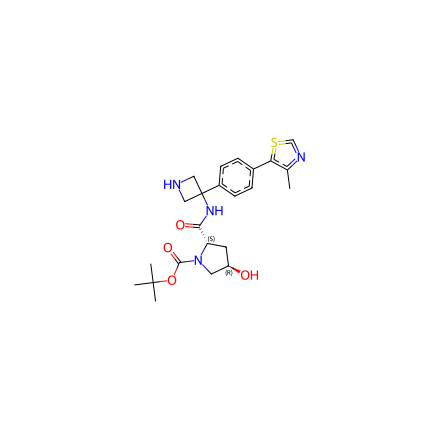 Cc1ncsc1-c1ccc(C2(NC(=O)[C@@H]3C[C@@H](O)CN3C(=O)OC(C)(C)C)CNC2)cc1